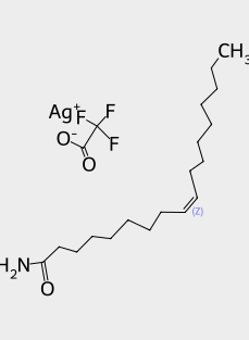 CCCCCCCC/C=C\CCCCCCCC(N)=O.O=C([O-])C(F)(F)F.[Ag+]